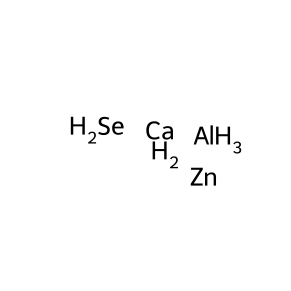 [AlH3].[CaH2].[SeH2].[Zn]